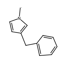 [CH2]n1ccc(Cc2ccccc2)c1